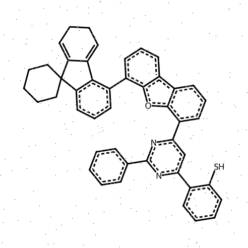 Sc1ccccc1-c1cc(-c2cccc3c2oc2c(-c4cccc5c4C4=CCCC=C4C54CCCCC4)cccc23)nc(-c2ccccc2)n1